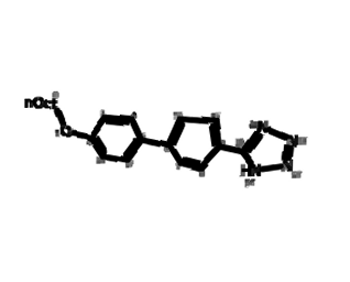 CCCCCCCCOc1ccc(-c2ccc(-c3nnn[nH]3)cc2)cc1